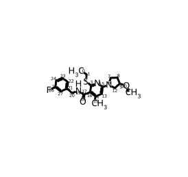 CCSc1nc(N2CCC(OC)C2)cc(C)c1C(=O)NCc1cccc(F)c1